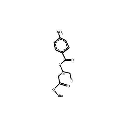 CC(C)(C)OC(=O)C[C@H](CCl)OC(=O)c1ccc([N+](=O)[O-])cc1